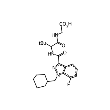 CC(C)(C)C(NC(=O)c1nn(CC2CCCCC2)c2c(F)cccc12)C(=O)NCC(=O)O